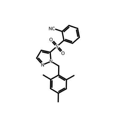 Cc1cc(C)c(Cn2nccc2S(=O)(=O)c2ccccc2C#N)c(C)c1